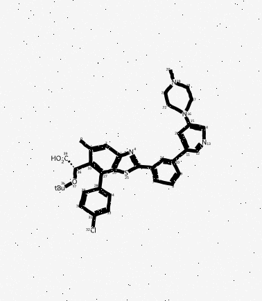 Cc1cc2nc(-c3cccc(-c4cncc(N5CCN(C)CC5)c4)c3)sc2c(-c2ccc(Cl)cc2)c1[C@H](OC(C)(C)C)C(=O)O